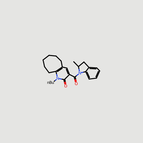 CCCCn1c2c(cc(C(=O)N3c4ccccc4CC3C)c1=O)CCCCCC2